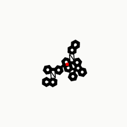 c1ccc(C2(c3ccccc3)c3ccccc3-c3ccc4c(c32)c2cc(-c3ccc5c(c3)c3ccccc3n5-c3cccc5ccccc35)ccc2n4-c2ccc3ccccc3c2)cc1